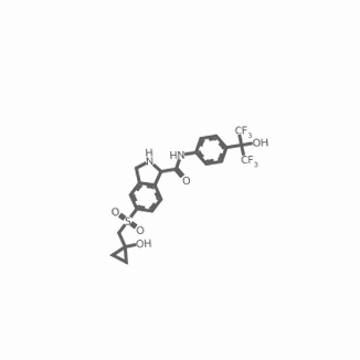 O=C(Nc1ccc(C(O)(C(F)(F)F)C(F)(F)F)cc1)C1NCc2cc(S(=O)(=O)CC3(O)CC3)ccc21